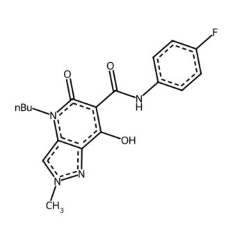 CCCCn1c(=O)c(C(=O)Nc2ccc(F)cc2)c(O)c2nn(C)cc21